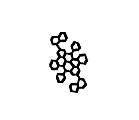 c1ccc(-n2c3cc(-c4cccc5ccccc45)cc4c5cnccc5c5c(c43)-c3c4c(cc(-c6cccc7ccccc67)cc4n5-c4ccccc4)c4cnccc4c32)cc1